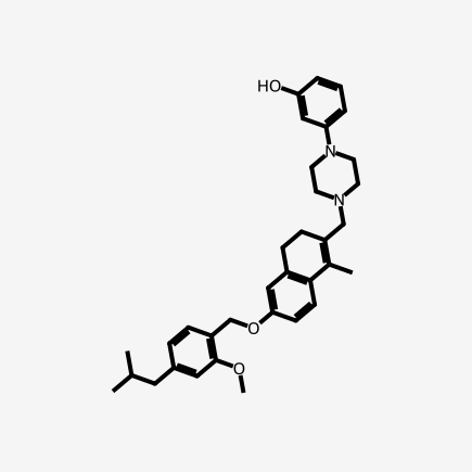 COc1cc(CC(C)C)ccc1COc1ccc2c(c1)CCC(CN1CCN(c3cccc(O)c3)CC1)=C2C